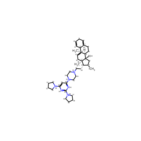 C[C@@H]1C[C@H]2[C@@H]3CCC4=CCC=C[C@]4(C)C3=CC[C@]2(C)[C@H]1CCN1CCN(c2cc(N3CCCC3)nc(N3CCCC3)n2)CC1